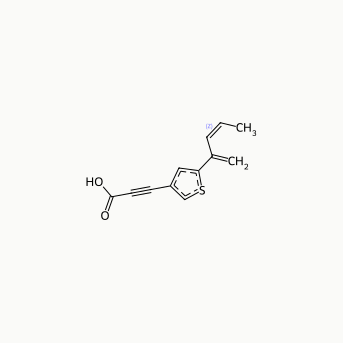 C=C(/C=C\C)c1cc(C#CC(=O)O)cs1